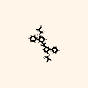 C=C(C)C(=O)Oc1ccc(C(C)(C)c2ccc(OC(=O)C(=C)C)c(-c3ccccc3)c2)cc1-c1ccccc1